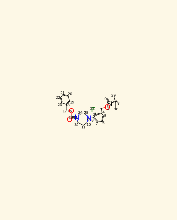 C=[Si](OCc1cccc(N2CCCN(C(=O)OCc3ccccc3)CC2)c1F)C(C)(C)C